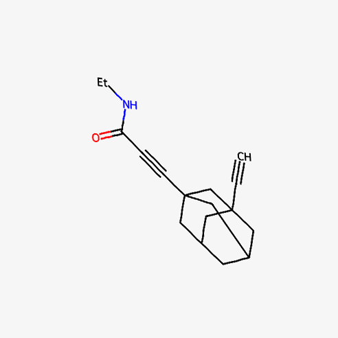 C#CC12CC3CC(C1)CC(C#CC(=O)NCC)(C3)C2